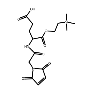 C[Si](C)(C)CCOC(=O)C(CCC(=O)O)NC(=O)CN1C(=O)C=CC1=O